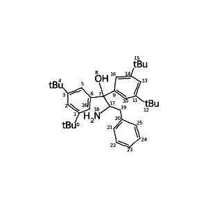 CC(C)(C)c1cc(C(C)(C)C)cc(C(O)(c2cc(C(C)(C)C)cc(C(C)(C)C)c2)C(N)Cc2ccccc2)c1